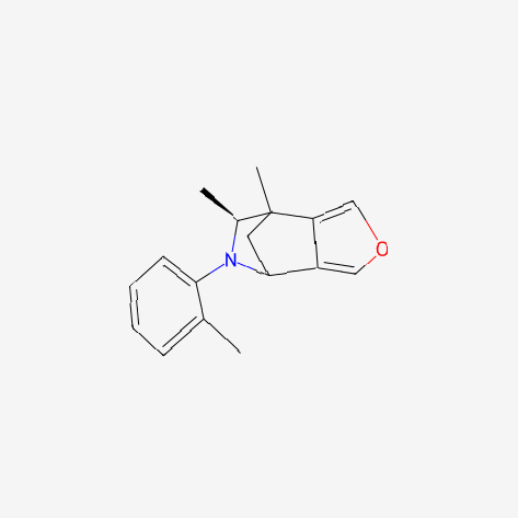 Cc1ccccc1N1C2CC(C)(c3cocc32)[C@@H]1C